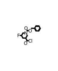 O=C(Cl)C1CC(F)CN(C(=O)OCc2ccccc2)C1